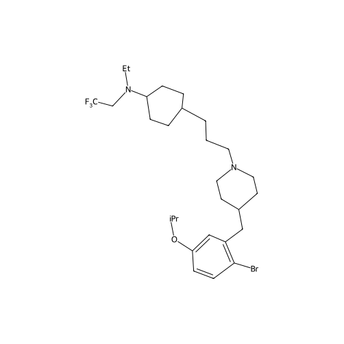 CCN(CC(F)(F)F)C1CCC(CCCN2CCC(Cc3cc(OC(C)C)ccc3Br)CC2)CC1